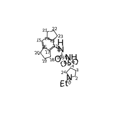 CCN1CCC(S(=O)(=O)NC(=O)Nc2c3c(cc4c2CCC4)CCC3)C1